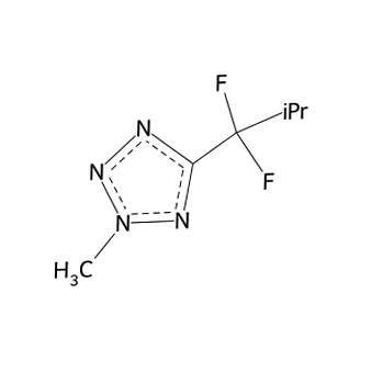 CC(C)C(F)(F)c1nnn(C)n1